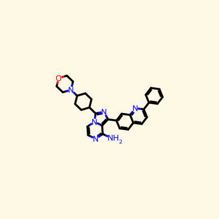 Nc1nccn2c(C3CCC(N4CCOCC4)CC3)nc(-c3ccc4ccc(-c5ccccc5)nc4c3)c12